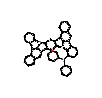 c1ccc(N(c2ccccc2)c2cccc3c4cc5ccccc5c5c6nc7c(nc6n(c23)c45)c2cc3ccccc3c3c4ccccc4n7c23)cc1